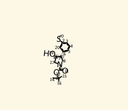 CSc1cccc([C@@H]2CN(C(=O)OC(C)(C)C)C[C@H]2O)c1